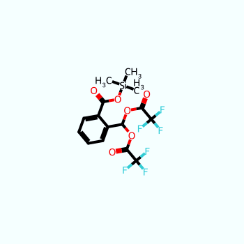 C[Si](C)(C)OC(=O)c1ccccc1C(OC(=O)C(F)(F)F)OC(=O)C(F)(F)F